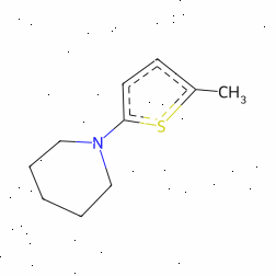 Cc1ccc(N2CCCCC2)s1